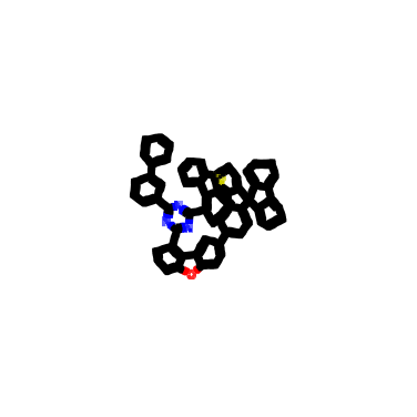 c1ccc(-c2cccc(-c3nc(-c4cccc5oc6ccc(-c7ccc8c(c7)-c7ccccc7C87c8ccccc8-c8ccccc87)cc6c45)nc(-c4cccc5sc6ccccc6c45)n3)c2)cc1